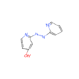 Oc1ccnc(N=Nc2ccccn2)c1